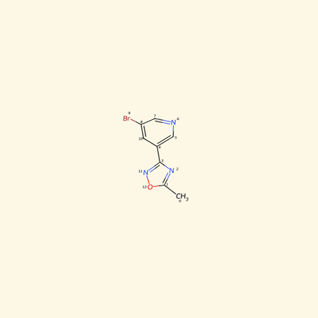 Cc1nc(-c2cncc(Br)c2)no1